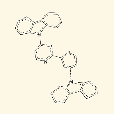 c1ccc2c(c1)c1ccccc1n2-c1ccnc(-c2cc(-n3c4ccccc4c4ccccc43)ccn2)c1